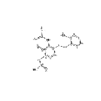 CC(=O)Nc1c(CCc2ccccc2O)ccn(CC(=O)O)c1=O